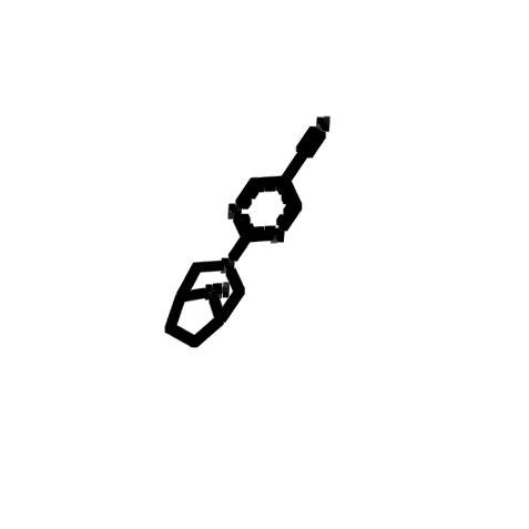 N#Cc1cnc(N2CC3CCC(C2)N3)nc1